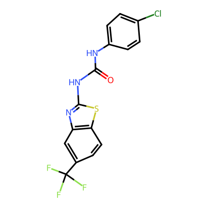 O=C(Nc1ccc(Cl)cc1)Nc1nc2cc(C(F)(F)F)ccc2s1